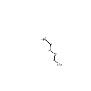 CCCCOOCC(C)=O